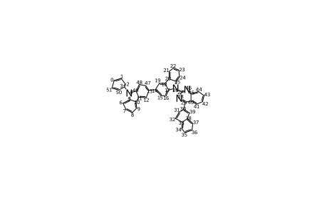 c1ccc(-n2c3ccccc3c3cc(-c4ccc5c(c4)c4ccccc4n5-c4nc(-c5ccc6ccccc6c5)c5ccccc5n4)ccc32)cc1